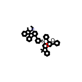 C/C=C\C1=C(C)c2ccccc2C12c1ccccc1-c1c(-c3cccc(N(c4ccc5c(c4)C(C)(C)c4ccccc4-5)c4ccccc4-c4cccc5c4oc4ccccc45)c3)cccc12